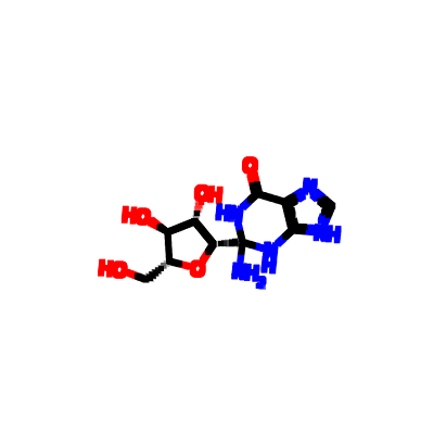 NC1([C@@H]2O[C@H](CO)[C@@H](O)[C@@H]2O)NC(=O)c2nc[nH]c2N1